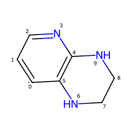 [c]1ccnc2c1NCCN2